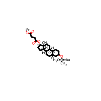 CC(C)OC(=O)CCC(=O)O[C@H]1CC[C@H]2[C@@H]3CC[C@H]4CC(O[Si](C)(C)C(C)(C)C)CC[C@]4(C)[C@H]3CC[C@]12C